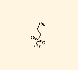 CCCS(=O)(=O)CCC(C)(C)C